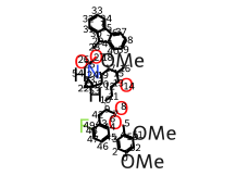 COc1ccc(COC(=O)[C@@H](CCCC(=O)C(C)C(OC)C2C[C@@H]3C[C@@H]3N2C(=O)OCC2c3ccccc3-c3ccccc32)Cc2ccccc2F)c(OC)c1